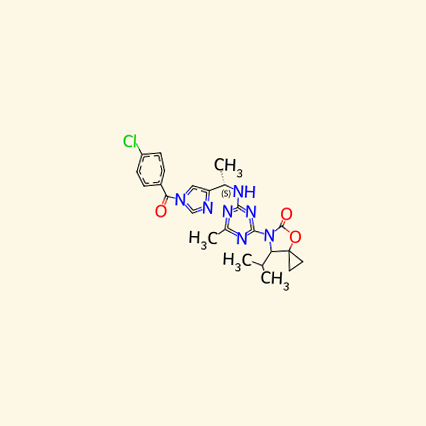 Cc1nc(N[C@@H](C)c2cn(C(=O)c3ccc(Cl)cc3)cn2)nc(N2C(=O)OC3(CC3)C2C(C)C)n1